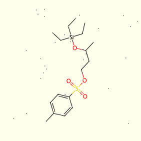 CC[Si](CC)(CC)OC(C)CCOS(=O)(=O)c1ccc(C)cc1